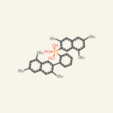 CC(C)(C)c1cc(C(C)(C)C)c2cc(-c3ccccc3P(O)(O)(O)c3cc4c(C(C)(C)C)cc(C(C)(C)C)cc4cc3C(C)(C)C)c(C(C)(C)C)cc2c1